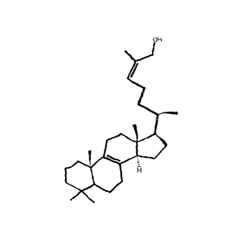 CC(=CCC[C@@H](C)[C@H]1CC[C@H]2C3=C(CC[C@]12C)[C@@]1(C)CCCC(C)(C)C1CC3)CO